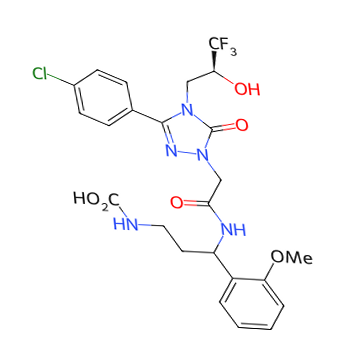 COc1ccccc1C(CCNC(=O)O)NC(=O)Cn1nc(-c2ccc(Cl)cc2)n(C[C@H](O)C(F)(F)F)c1=O